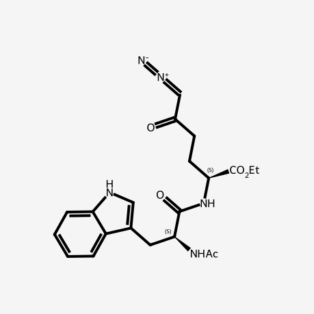 CCOC(=O)[C@H](CCC(=O)C=[N+]=[N-])NC(=O)[C@H](Cc1c[nH]c2ccccc12)NC(C)=O